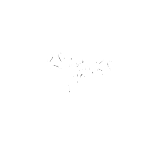 CCCCOP(=O)(OCc1ccccc1)C(=O)OCc1ccccc1